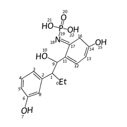 CCC(c1cccc(O)c1)C(O)C1=CC=C(O)CC1=NP(=O)(O)O